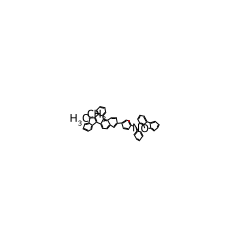 CC1(C)c2ccccc2-c2c1c1ccccc1c1c2ccc2cc(-c3ccc(N(c4ccccc4)c4cccc5c4oc4ccccc45)cc3)ccc21